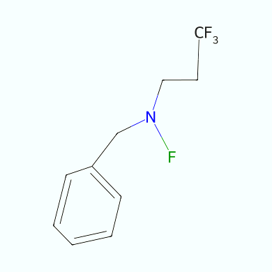 FN(CCC(F)(F)F)Cc1ccccc1